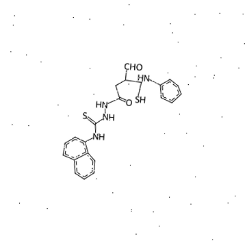 O=CC(CC(=O)NNC(=S)Nc1cccc2ccccc12)C(S)Nc1ccccc1